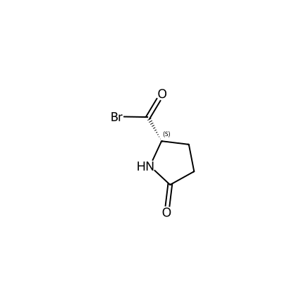 O=C1CC[C@@H](C(=O)Br)N1